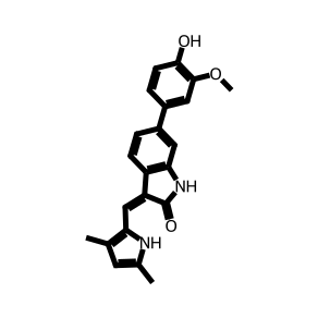 COc1cc(-c2ccc3c(c2)NC(=O)C3=Cc2[nH]c(C)cc2C)ccc1O